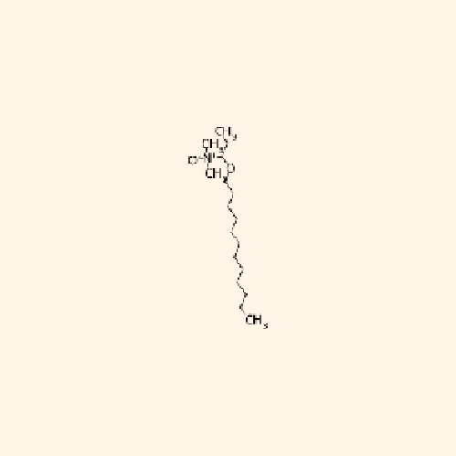 CCCCCCCCCCCCOC(CC)[N+](C)(C)[O-]